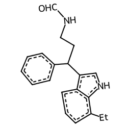 CCc1cccc2c(C(CCNC=O)c3ccccc3)c[nH]c12